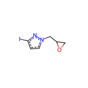 Ic1ccn(CC2CO2)n1